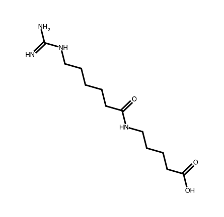 N=C(N)NCCCCCC(=O)NCCCCC(=O)O